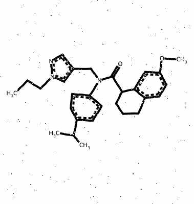 CCCn1cc(CN(C(=O)C2CCCc3ccc(OC)cc32)c2ccc(C(C)C)cc2)cn1